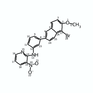 COc1ccc2cc(-c3cccc(Nc4ncccc4[N+](=O)[O-])c3)ccc2c1Br